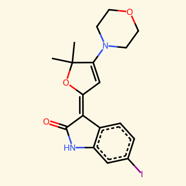 CC1(C)OC(=C2C(=O)Nc3cc(I)ccc32)C=C1N1CCOCC1